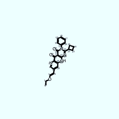 CCOC=Cc1cnc2c(=O)c3c(=O)n(-c4ccccc4)c(C4CCC4)nc3[nH]c2c1